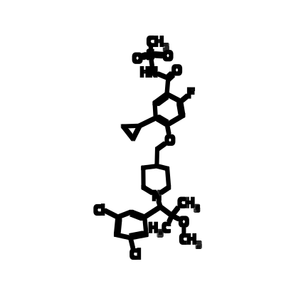 COC(C)(C)C(c1cc(Cl)cc(Cl)c1)N1CCC(COc2cc(F)c(C(=O)NS(C)(=O)=O)cc2C2CC2)CC1